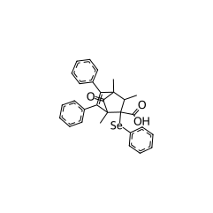 CC1C2(C)C(=O)C(C)(C(c3ccccc3)=C2c2ccccc2)C1([Se]c1ccccc1)C(=O)O